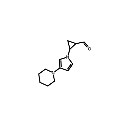 O=CC1C[C]1n1ccc(N2CCCCC2)c1